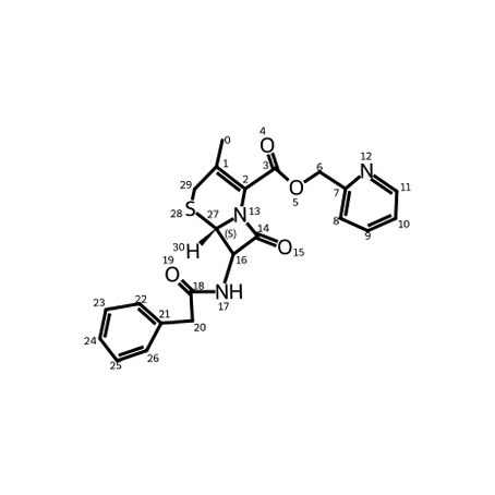 CC1=C(C(=O)OCc2ccccn2)N2C(=O)C(NC(=O)Cc3ccccc3)[C@@H]2SC1